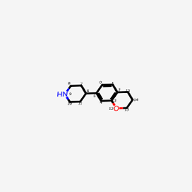 c1cc2c(cc1C1CCNCC1)OCCC2